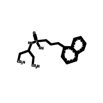 O=C(O)CC(CC(=O)O)NP(=O)(O)CCCc1cccc2ccccc12